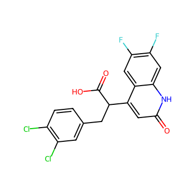 O=C(O)C(Cc1ccc(Cl)c(Cl)c1)c1cc(=O)[nH]c2cc(F)c(F)cc12